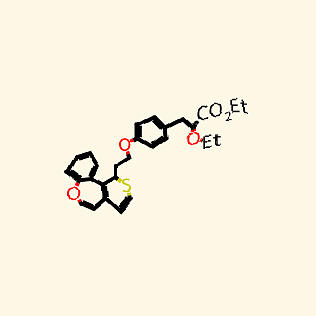 CCOC(=O)C(Cc1ccc(OCCC2SC=CC3=C2c2ccccc2OC=C3)cc1)OCC